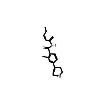 C=C(/C=C\CC)NC(=O)c1ccc(C2=CCNCC2)cc1C